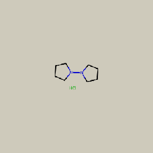 C1CCN(N2CCCC2)C1.Cl